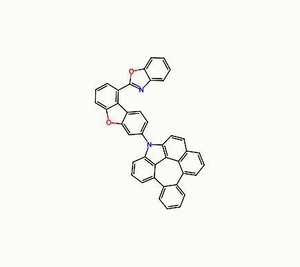 c1ccc2c(c1)-c1cccc3ccc4c(c13)c1c-2cccc1n4-c1ccc2c(c1)oc1cccc(-c3nc4ccccc4o3)c12